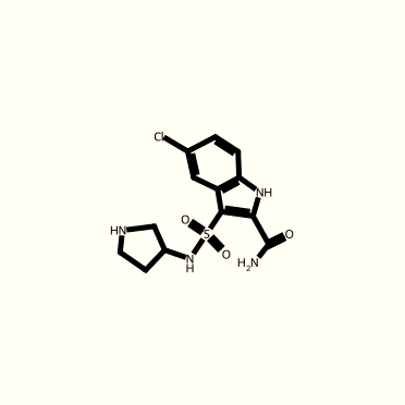 NC(=O)c1[nH]c2ccc(Cl)cc2c1S(=O)(=O)NC1CCNC1